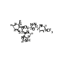 O=C(c1nnc(-c2ccc(C(F)(F)F)cn2)o1)N1CCc2[nH]cnc2[C@H]1c1nc2c(F)cccc2s1